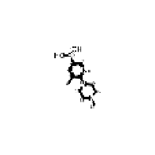 Cc1cc(B(O)O)cnc1N1CCN(C)CC1